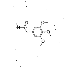 C[N]C(=O)Cc1cc(OC)c(OC)c(OC)c1